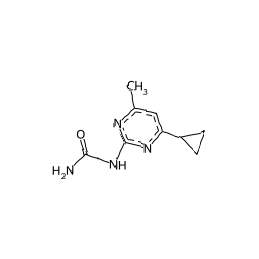 Cc1cc(C2CC2)nc(NC(N)=O)n1